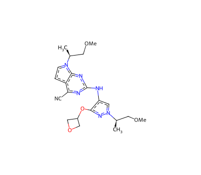 COC[C@@H](C)n1cc(Nc2nc(C#N)c3ccn([C@@H](C)COC)c3n2)c(OC2COC2)n1